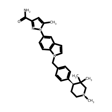 Cc1cc(C(N)=O)nn1-c1ccc2c(ccn2Cc2ccc([C@@H]3CCN(C)CC3(C)C)cc2)c1